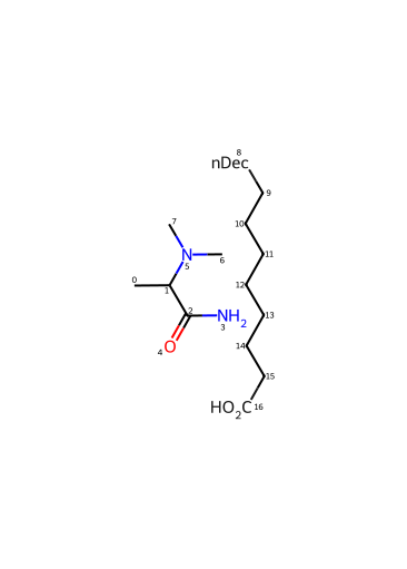 CC(C(N)=O)N(C)C.CCCCCCCCCCCCCCCCCC(=O)O